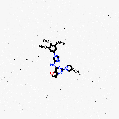 COc1cc(-n2cnc(Nc3nc(N4CC[C@@H](C)C4)nc4ccoc34)c2)cc(OC)c1OC